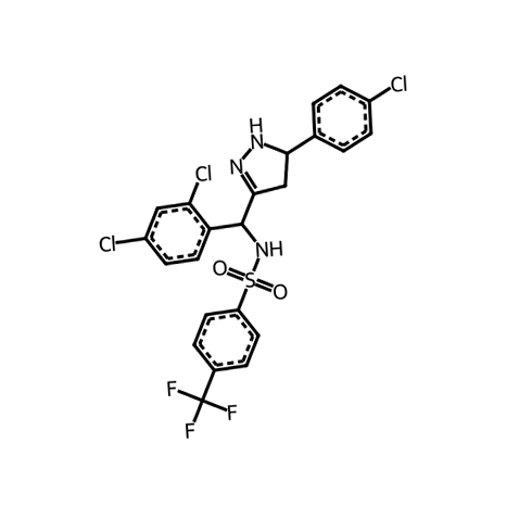 O=S(=O)(NC(C1=NNC(c2ccc(Cl)cc2)C1)c1ccc(Cl)cc1Cl)c1ccc(C(F)(F)F)cc1